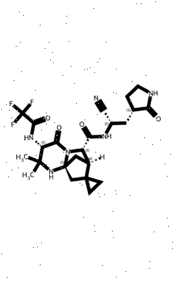 CC1(C)N[C@@]23C[C@@H]([C@@H](C(=O)N[C@H](C#N)C[C@@H]4CCNC4=O)N2C(=O)[C@H]1NC(=O)C(F)(F)F)C1(CC1)C3